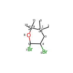 C[Si]1(C)CC(Br)C(Br)O[Si]1(C)C